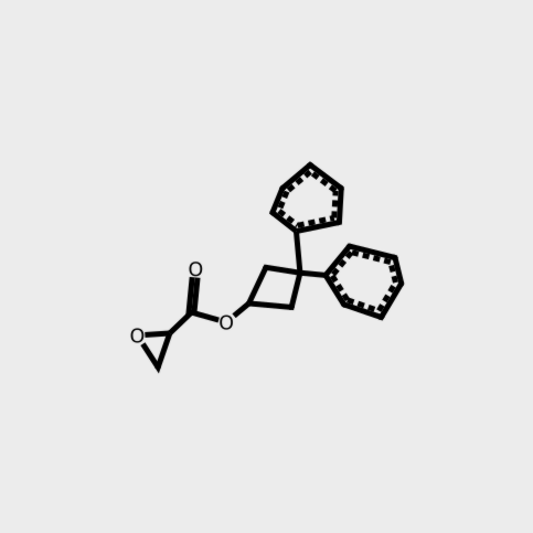 O=C(OC1CC(c2ccccc2)(c2ccccc2)C1)C1CO1